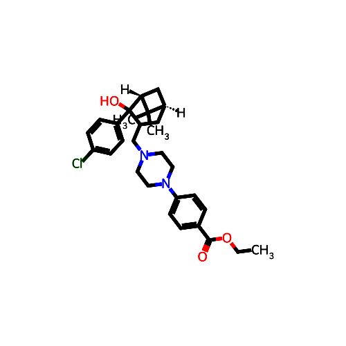 CCOC(=O)c1ccc(N2CCN(CC3C[C@@H]4C[C@@H](C3(O)c3ccc(Cl)cc3)C4(C)C)CC2)cc1